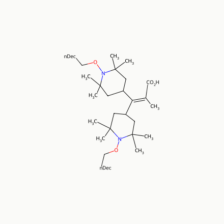 CCCCCCCCCCCON1C(C)(C)CC(C(=C(C)C(=O)O)C2CC(C)(C)N(OCCCCCCCCCCC)C(C)(C)C2)CC1(C)C